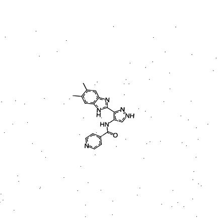 Cc1cc2nc(-c3n[nH]cc3NC(=O)c3ccncc3)[nH]c2cc1C